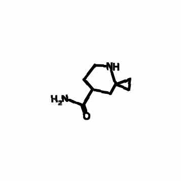 NC(=O)C1CCNC2(CC2)C1